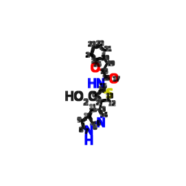 O=C(O)c1c(-c2cnc3[nH]ccc3c2)csc1NC(=O)C1Cc2ccccc2O1